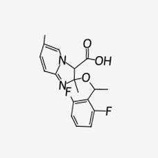 CC1=CN2C(=NC(C)(OC(C)c3c(F)cccc3F)C2C(=O)O)C=C1